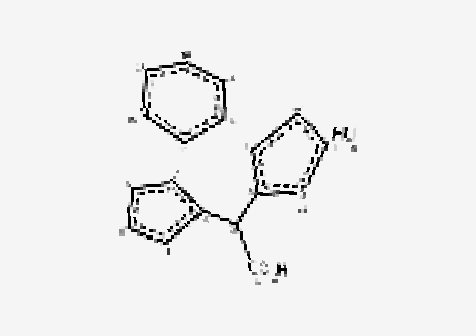 Cl.O=C(O)C(c1cccs1)c1cccs1.c1ccncc1